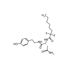 CCCCCCC(F)(F)C(=O)N[C@H](CC(N)=O)C(=O)NCCc1ccc(O)cc1